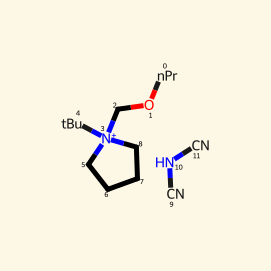 CCCOC[N+]1(C(C)(C)C)CCCC1.N#CNC#N